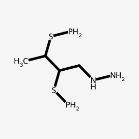 CC(SP)C(CNN)SP